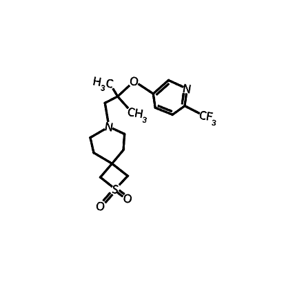 CC(C)(CN1CCC2(CC1)CS(=O)(=O)C2)Oc1ccc(C(F)(F)F)nc1